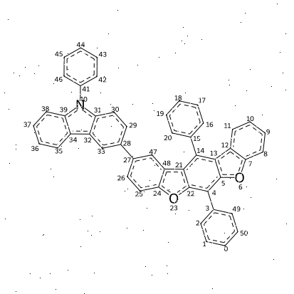 c1ccc(-c2c3oc4ccccc4c3c(-c3ccccc3)c3c2oc2ccc(-c4ccc5c(c4)c4ccccc4n5-c4ccccc4)cc23)cc1